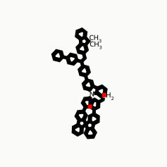 C=Cc1cccc(-c2ccc3c(c2)C2(c4ccccc4-c4ccc(-c5ccc(-n6c7ccccc7c7cc(-c8ccc(C(Cc9ccc%10c(c9)C(C)(C)c9ccccc9-%10)c9ccc(-c%10ccccc%10)cc9)cc8)ccc76)cc5)cc42)c2ccccc2-3)c1